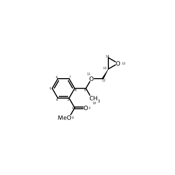 COC(=O)c1ccccc1C(C)OC[C@H]1CO1